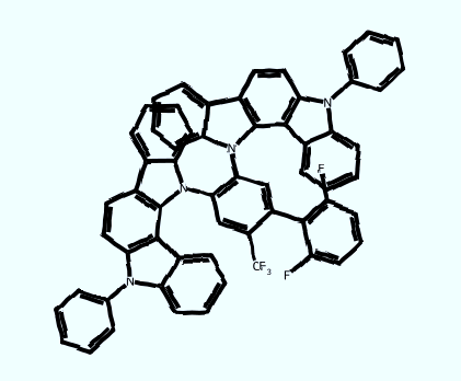 Fc1cccc(F)c1-c1cc(-n2c3ccccc3c3ccc4c(c5ccccc5n4-c4ccccc4)c32)c(-n2c3ccccc3c3ccc4c(c5ccccc5n4-c4ccccc4)c32)cc1C(F)(F)F